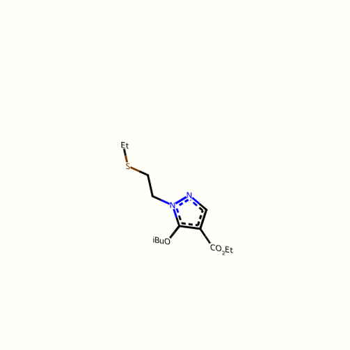 CCOC(=O)c1cnn(CCSCC)c1OCC(C)C